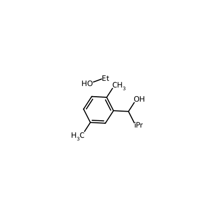 CCO.Cc1ccc(C)c(C(O)C(C)C)c1